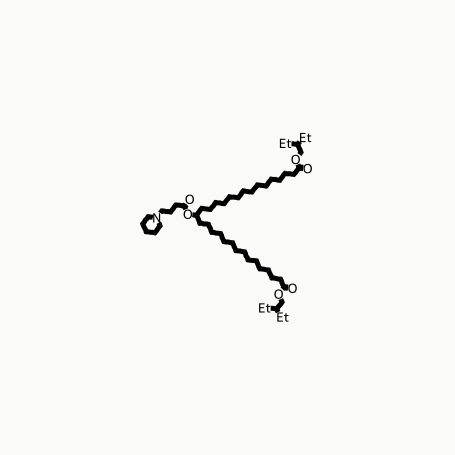 CCC(CC)COC(=O)CCCCCCCCCCCCCCC(CCCCCCCCCCCCCCC(=O)OCC(CC)CC)OC(=O)CCCN1CCCCC1